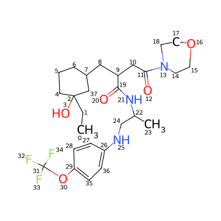 CCC1(O)CCCC(CC(CC(=O)N2CCOCC2)C(=O)NC(C)CNc2ccc(OC(F)(F)F)cc2)C1